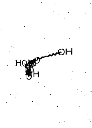 Cc1cn([C@H]2C[C@H](O)[C@@H](Cn3cc(COCCCCCCCCCCCCO)nn3)O2)c(=O)[nH]c1=O